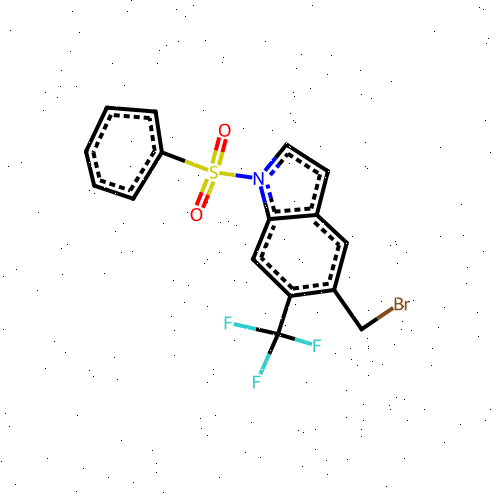 O=S(=O)(c1ccccc1)n1ccc2cc(CBr)c(C(F)(F)F)cc21